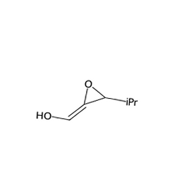 CC(C)C1OC1=CO